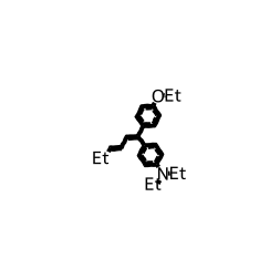 CCC=CC=C(c1ccc(OCC)cc1)c1ccc(N(CC)CC)cc1